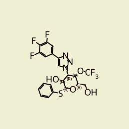 OC[C@H]1O[C@H](Sc2ccccc2)[C@H](O)[C@@H](n2cc(-c3cc(F)c(F)c(F)c3)nn2)[C@H]1OC(F)(F)F